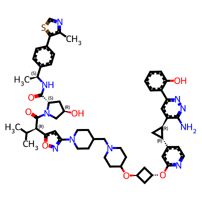 Cc1ncsc1-c1ccc([C@H](C)NC(=O)[C@@H]2C[C@@H](O)CN2C(=O)[C@@H](c2cc(N3CCC(CN4CCC(O[C@H]5C[C@H](Oc6cc([C@@H]7C[C@H]7c7cc(-c8ccccc8O)nnc7N)ccn6)C5)CC4)CC3)no2)C(C)C)cc1